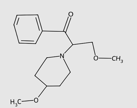 COCC(C(=O)c1ccccc1)N1CCC(OC)CC1